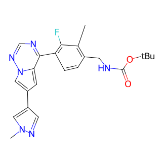 Cc1c(CNC(=O)OC(C)(C)C)ccc(-c2ncnn3cc(-c4cnn(C)c4)cc23)c1F